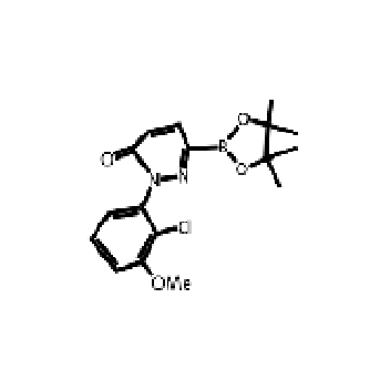 COc1cccc(-n2nc(B3OC(C)(C)C(C)(C)O3)ccc2=O)c1Cl